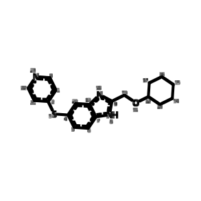 c1cc(Sc2ccc3[nH]c(COC4CCCCC4)nc3c2)ccn1